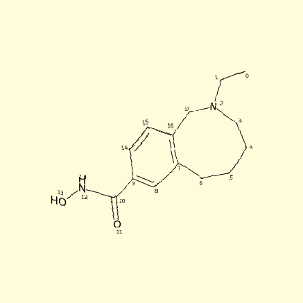 CCN1CCCCc2cc(C(=O)NO)ccc2C1